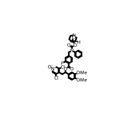 COc1ccc(C(Cc2c(Cl)c[n+]([O-])cc2Cl)OC(=O)c2ccc(CN(C(=O)O[C@H]3CN4CCC3CC4)c3ccccc3)cc2F)cc1OC